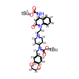 CC(C)(C)OC(=O)Nc1cc(=O)n(CCN2CCC(N(Cc3ccc4c(c3)OCCO4)C(=O)OC(C)(C)C)CC2)c2ccccc12